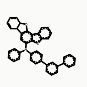 C1=CC2Oc3c(cc(N(c4ccccc4)c4ccc(-c5cccc(-c6ccccc6)c5)cc4)c4sc5ccccc5c34)C2C=C1